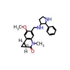 COc1cc2c(cc1CNC1CCNC1c1ccccc1)N(C)C(=O)[C@H]1C[C@@H]21